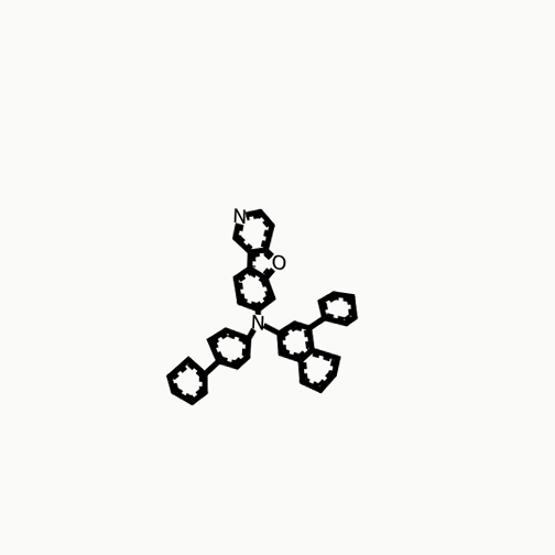 c1ccc(-c2ccc(N(c3cc(-c4ccccc4)c4ccccc4c3)c3ccc4c(c3)oc3ccncc34)cc2)cc1